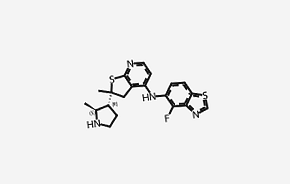 C[C@@H]1NCC[C@H]1C1(C)Cc2c(Nc3ccc4scnc4c3F)ccnc2S1